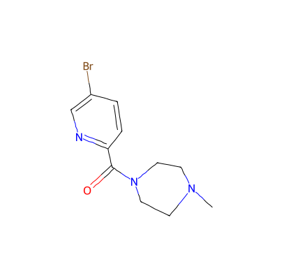 CN1CCN(C(=O)c2ccc(Br)cn2)CC1